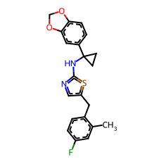 Cc1cc(F)ccc1Cc1cnc(NC2(c3ccc4c(c3)OCO4)CC2)s1